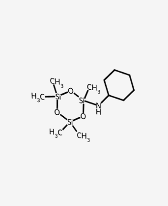 C[Si]1(C)O[Si](C)(C)O[Si](C)(NC2CCCCC2)O1